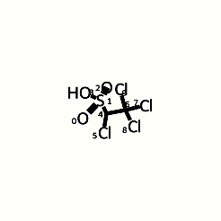 O=S(=O)(O)C(Cl)C(Cl)(Cl)Cl